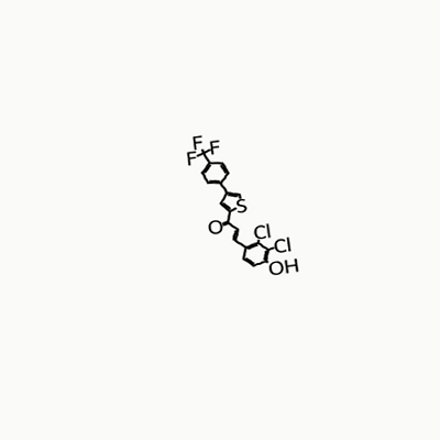 O=C(C=Cc1ccc(O)c(Cl)c1Cl)c1cc(-c2ccc(C(F)(F)F)cc2)cs1